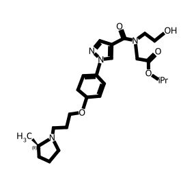 CC(C)OC(=O)CN(CCO)C(=O)c1cnn(C2=CCC(OCCCN3CCC[C@H]3C)C=C2)c1